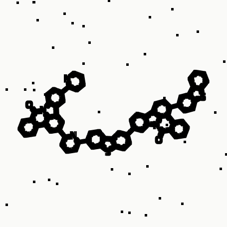 O=c1c2ccccc2c2cc(-c3cccc(-c4ccc5c(c4)sc4ccc(-c6ccc7c8ccc(-c9ccc%10sc%11ccccc%11c%10c9)c9c%10ccccc%10c(=O)n(c7c6)c89)cc45)n3)cc3c4cc(-c5ccccn5)ccc4n1c23